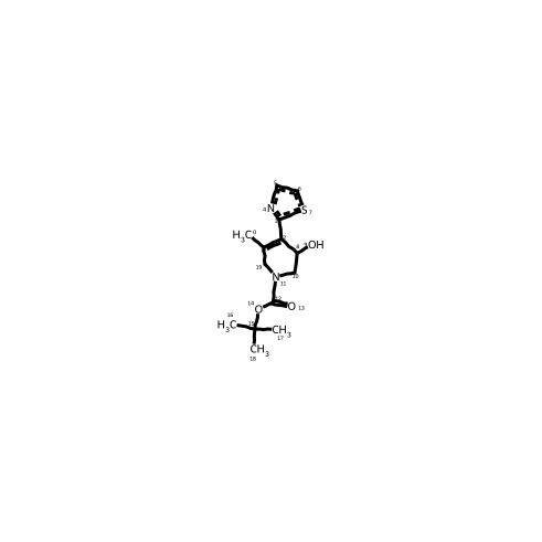 CC1=C(c2nccs2)C(O)CN(C(=O)OC(C)(C)C)C1